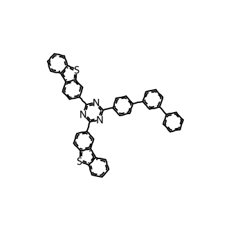 c1ccc(-c2cccc(-c3ccc(-c4nc(-c5ccc6c(c5)sc5ccccc56)nc(-c5ccc6sc7ccccc7c6c5)n4)cc3)c2)cc1